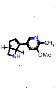 COc1cc(C2=CC[C@H]3CN[C@@H]23)cnc1C